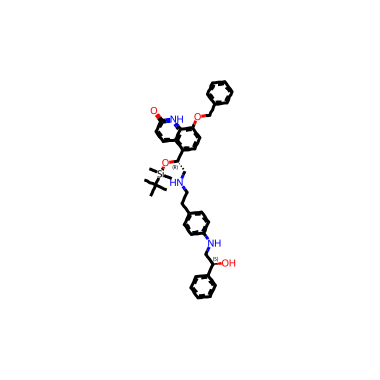 CC(C)(C)[Si](C)(C)O[C@@H](CNCCc1ccc(NC[C@@H](O)c2ccccc2)cc1)c1ccc(OCc2ccccc2)c2[nH]c(=O)ccc12